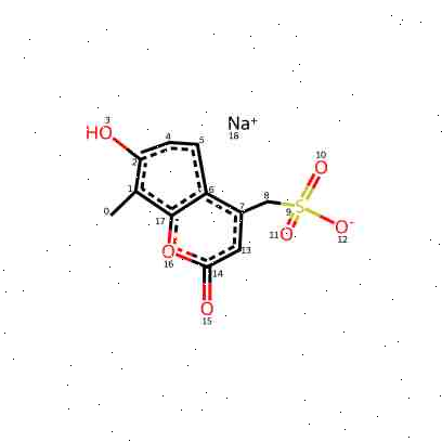 Cc1c(O)ccc2c(CS(=O)(=O)[O-])cc(=O)oc12.[Na+]